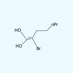 CCCCCC(Br)=C(O)O